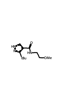 COCCNC(=O)c1c[nH]nc1C(C)(C)C